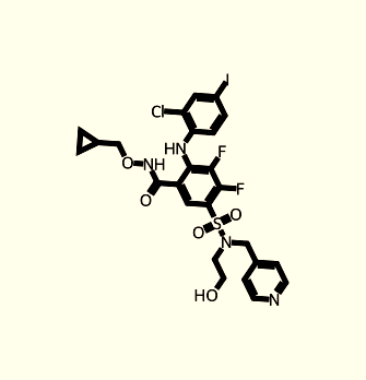 O=C(NOCC1CC1)c1cc(S(=O)(=O)N(CCO)Cc2ccncc2)c(F)c(F)c1Nc1ccc(I)cc1Cl